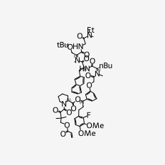 C=CC(=O)OCC(C)(C)C(=O)C(=O)N1CCCC[C@H]1C(=O)O[C@H](CCc1ccc(OC)c(OC)c1F)c1cccc(OCC(=O)N(C)[C@@H](CCCC)C(=O)N[C@@H](Cc2ccc3ccccc3c2)C(=O)N(C)[C@@H](COC(C)(C)C)C(=O)NCC(=O)N(C)CC)c1